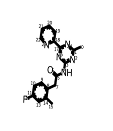 Cc1nc(NC(=O)Cc2ccc(F)cc2C)nc(-c2ccccn2)n1